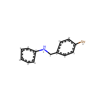 Sc1ccc(CNc2ccccc2)cc1